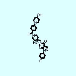 O=C(c1ccc(N2CCC(O)CC2)cc1)N1CCC(O)(Cn2cnc3c(cnn3-c3ccc(F)cc3)c2=O)CC1